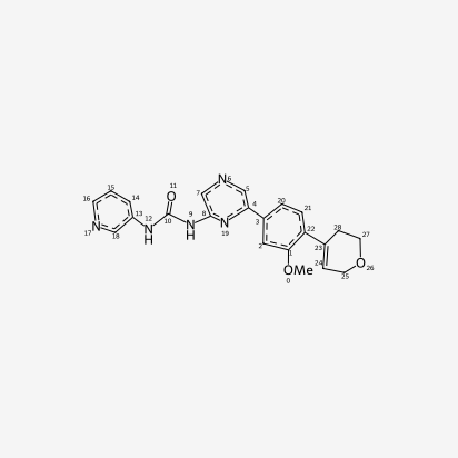 COc1cc(-c2cncc(NC(=O)Nc3cccnc3)n2)ccc1C1=CCOCC1